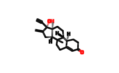 C#C[C@]1(O)C(=C)C[C@H]2C3(C)CCC4=CC(=O)CC[C@@H]4[C@H]3CC[C@@]21C